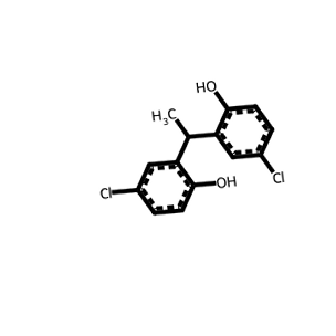 CC(c1cc(Cl)ccc1O)c1cc(Cl)ccc1O